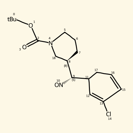 CC(C)(C)OC(=O)N1CCC[C@@H]([C@@H](N=O)C2C=C(Cl)C=CC2)C1